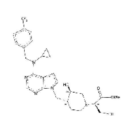 COC(=O)[C@@H](CO)N1CC[C@H](Cn2ccc3c(N(Cc4ccc(C(F)(F)F)cc4)C4CC4)ncnc32)[C@@H](O)C1